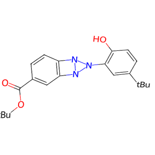 CC(C)(C)OC(=O)c1ccc2c(c1)n1n(-c3cc(C(C)(C)C)ccc3O)n21